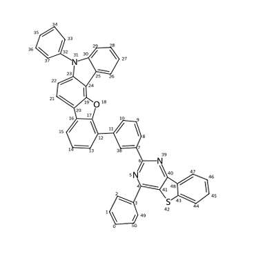 c1ccc(-c2nc(-c3cccc(-c4cccc5c4oc4c5ccc5c4c4ccccc4n5-c4ccccc4)c3)nc3c2sc2ccccc23)cc1